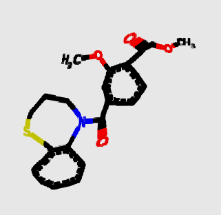 COC(=O)c1ccc(C(=O)N2CCCSc3ccccc32)cc1OC